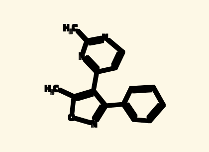 Cc1nccc(-c2c(-c3ccccc3)noc2C)n1